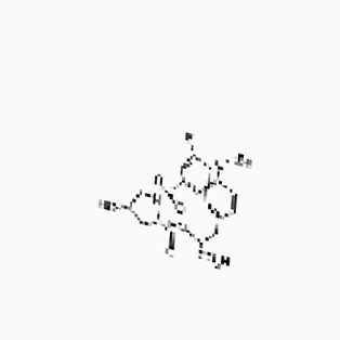 CC(C)(C)Oc1ccc(CC(NC(=O)C2CC(O)CN2S(=O)(=O)c2cccc(F)c2)C(=O)O)cc1